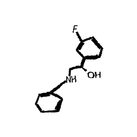 O[C@@H](CNCc1ccccc1)c1cccc(F)c1